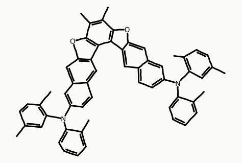 Cc1ccc(C)c(N(c2ccc3cc4c(cc3c2)oc2c(C)c(C)c3oc5cc6cc(N(c7ccccc7C)c7cc(C)ccc7C)ccc6cc5c3c24)c2ccccc2C)c1